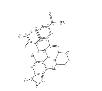 CCc1nc2c(cnn2CC)c(NC2CCOCC2)c1CN(Cc1cccc(Br)c1C)C(=O)c1cccc(C(N)=O)c1